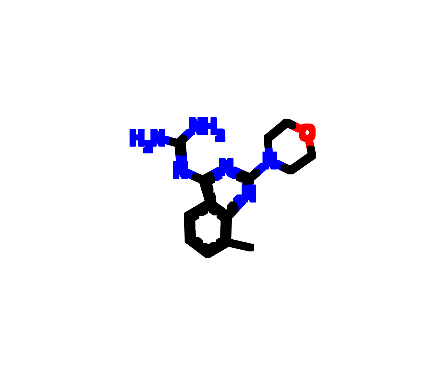 Cc1cccc2c(N=C(N)N)nc(N3CCOCC3)nc12